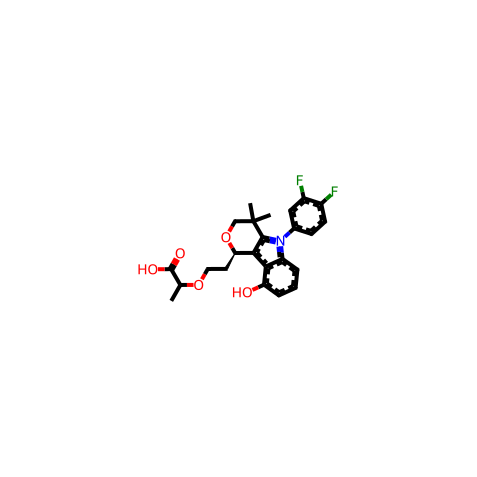 CC(OCC[C@H]1OCC(C)(C)c2c1c1c(O)cccc1n2-c1ccc(F)c(F)c1)C(=O)O